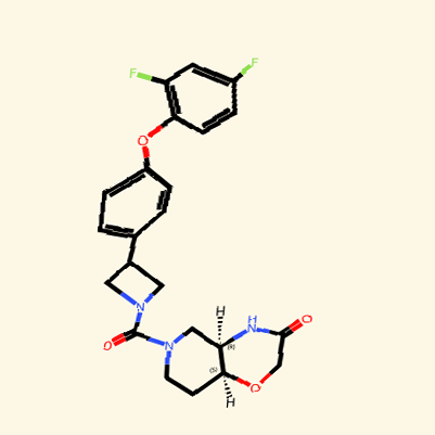 O=C1CO[C@H]2CCN(C(=O)N3CC(c4ccc(Oc5ccc(F)cc5F)cc4)C3)C[C@H]2N1